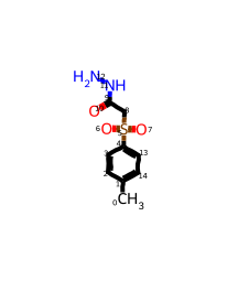 Cc1ccc(S(=O)(=O)CC(=O)NN)cc1